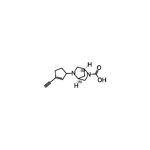 C#CC1=CC(N2C[C@@H]3C[C@H]2CN3C(=O)O)CC1